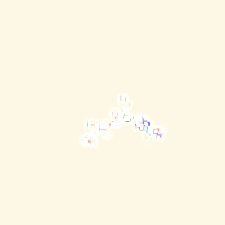 CCc1cc(Oc2nccn3c(-c4conc4C(F)(F)F)cnc23)ccc1C(=O)OCCOC(=O)[C@@H](O)CCCCO